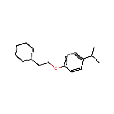 CC(C)c1ccc(OCCC2CCCCC2)cc1